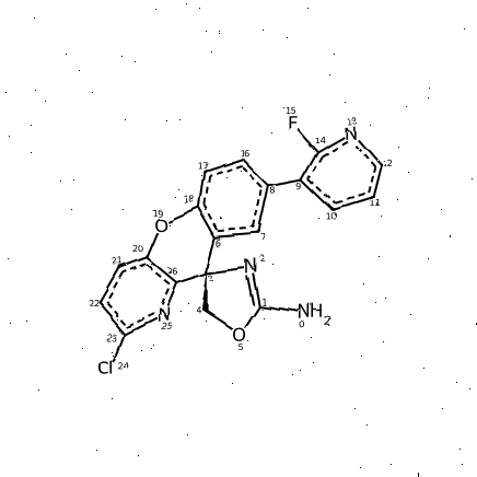 NC1=N[C@@]2(CO1)c1cc(-c3cccnc3F)ccc1Oc1ccc(Cl)nc12